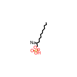 CCCCCCCCCC[CH]([Na])COS(=O)(=O)O